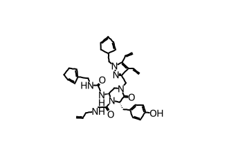 C=CCNCC(=O)N1[C@@H](NC(=O)NCC2=CCCC=C2)CN(Cc2nn(CC3C=CC=CC3)c(C=C)c2C=C)C(=O)[C@@H]1Cc1ccc(O)cc1